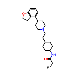 CC(C)CC(=O)NC1CCC(CCN2CCC(c3cccc4c3CCO4)CC2)CC1